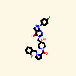 O=C(c1cccn1Cc1ccccc1F)N1CCC(O)(Cn2cnc3c(cnn3-c3ccc(F)cc3)c2=O)CC1